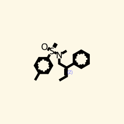 C=S(=O)(c1ccc(C)cc1)N(C)C/C(=C\C)c1ccccc1